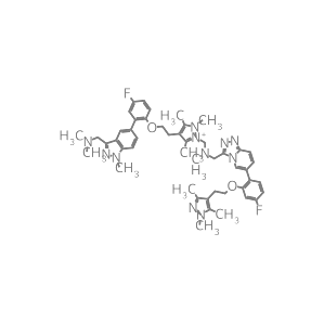 Cc1nn(C)c(C)c1CCOc1cc(F)ccc1-c1ccc2nnc(CN(C)C[n+]3c(C)c(CCOc4ccc(F)cc4-c4ccc5c(c4)c(CN(C)C)nn5C)c(C)n3C)n2c1